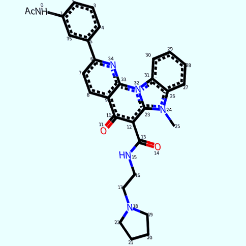 CC(=O)Nc1cccc(-c2ccc3c(=O)c(C(=O)NCCN4CCCC4)c4n(C)c5ccccc5n4c3n2)c1